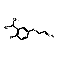 C=CCOc1ccc(F)c(C(C)O)c1